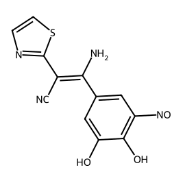 N#C/C(=C(/N)c1cc(O)c(O)c(N=O)c1)c1nccs1